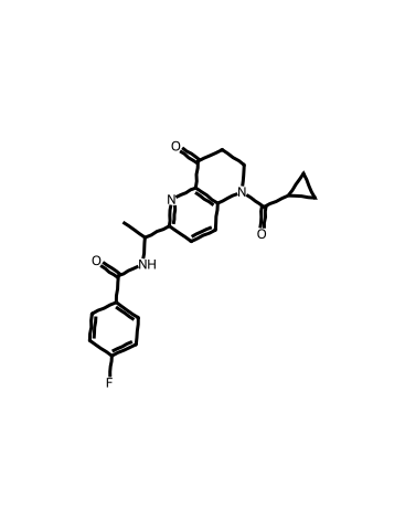 CC(NC(=O)c1ccc(F)cc1)c1ccc2c(n1)C(=O)CCN2C(=O)C1CC1